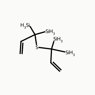 C=CC([SiH3])([SiH3])SC([SiH3])([SiH3])C=C